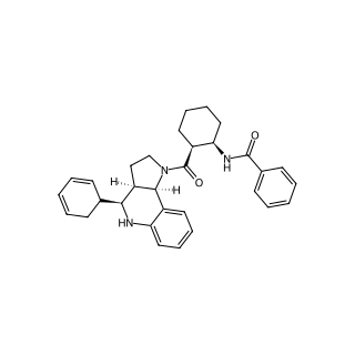 O=C(N[C@@H]1CCCC[C@@H]1C(=O)N1CC[C@@H]2[C@H](C3C=CC=CC3)Nc3ccccc3[C@@H]21)c1ccccc1